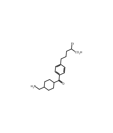 CCC(CCCc1ccc(C(=O)C2CCC(CN)CC2)cc1)C(=O)O